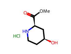 COC(=O)[C@H]1C[C@@H](O)CCN1.Cl